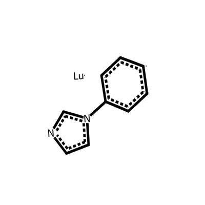 [Lu].[c]1ccc(-n2ccnc2)cc1